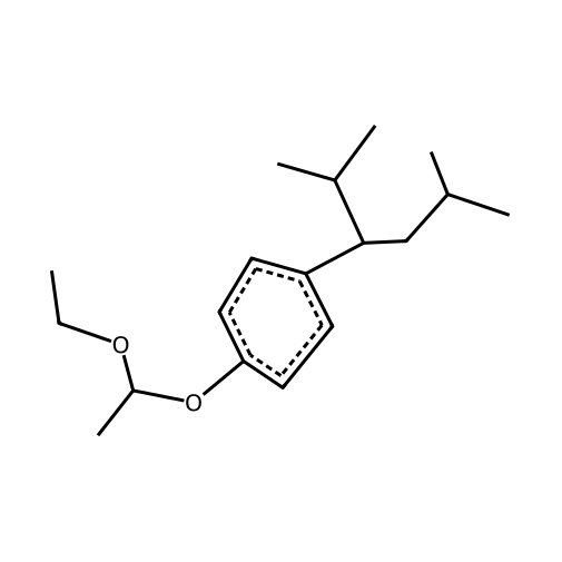 CCOC(C)Oc1ccc(C(CC(C)C)C(C)C)cc1